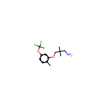 Cc1ccc(OC(F)(F)F)cc1OCC(C)(C)CN